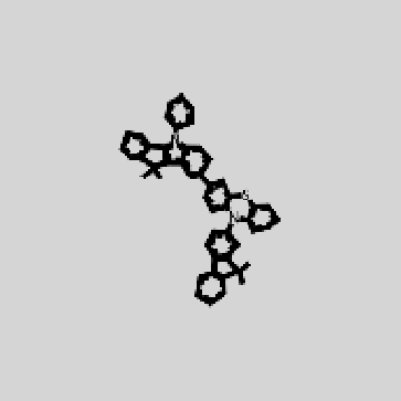 CC1(C)c2ccccc2-c2ccc(N3c4ccccc4Sc4cc(-c5ccc6c(c5)c5c(n6-c6ccccc6)-c6ccccc6C5(C)C)ccc43)cc21